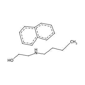 CCCCNCCO.c1ccc2ccccc2c1